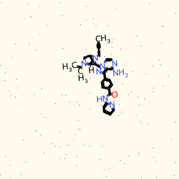 CC#CCN1C2C[C@@H](C1c1nc(-c3ccc(C(=O)Nc4ccccn4)cc3)c3c(N)nccn13)N(C(C)C)C2